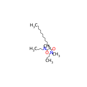 CCCCCCCCCCCCC(C(=O)N(C)CCCC)C(=O)N(C)CCCC